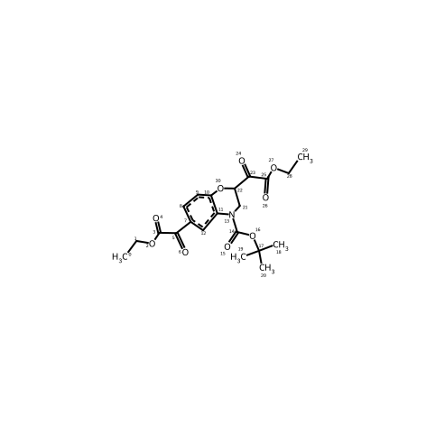 CCOC(=O)C(=O)c1ccc2c(c1)N(C(=O)OC(C)(C)C)CC(C(=O)C(=O)OCC)O2